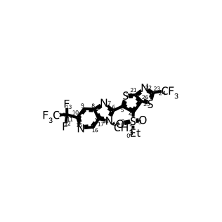 CCS(=O)(=O)c1c(-c2nc3cc(C(F)(F)C(F)(F)F)ncc3n2C)sc2nc(C(F)(F)F)sc12